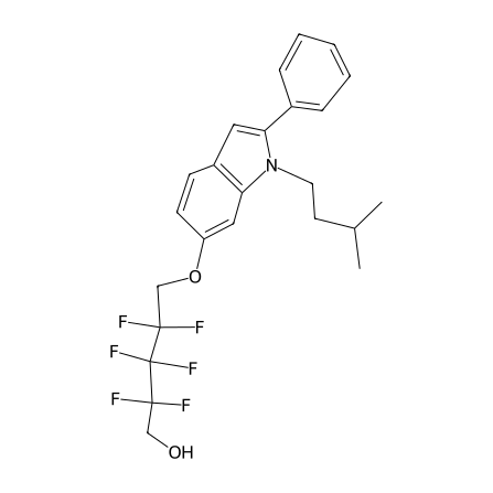 CC(C)CCn1c(-c2ccccc2)cc2ccc(OCC(F)(F)C(F)(F)C(F)(F)CO)cc21